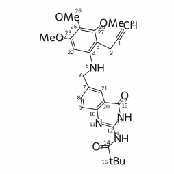 C#CCc1c(NCc2ccc3nc(NC(=O)C(C)(C)C)[nH]c(=O)c3c2)cc(OC)c(OC)c1OC